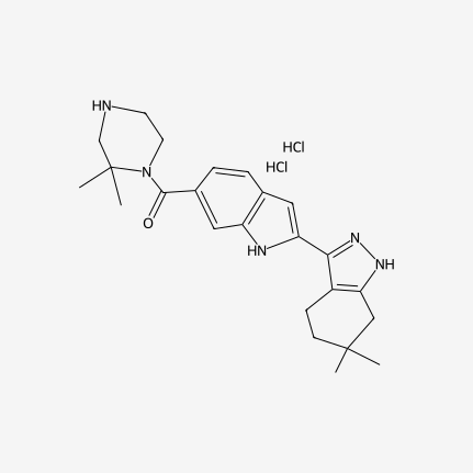 CC1(C)CCc2c(-c3cc4ccc(C(=O)N5CCNCC5(C)C)cc4[nH]3)n[nH]c2C1.Cl.Cl